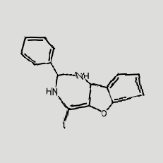 IC1=C2Oc3ccccc3C2NC(c2ccccc2)N1